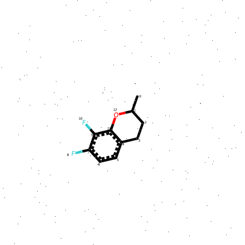 CC1CCc2ccc(F)c(F)c2O1